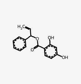 C=CC(OC(=O)c1ccc(O)cc1O)c1ccccc1